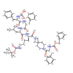 CC(C)C[C@@H](NC(=O)[C@@H](Cc1ccccc1)NC(=O)[C@@H](Cc1ccccc1)NC(=O)O)C(=O)N[C@H](CCCCNC(=O)OC(C)(C)C)C(=O)N1CC2(CCN(C(=O)[C@@H](Cc3ccccc3)NC(=O)OCc3ccccc3)CC2)C1